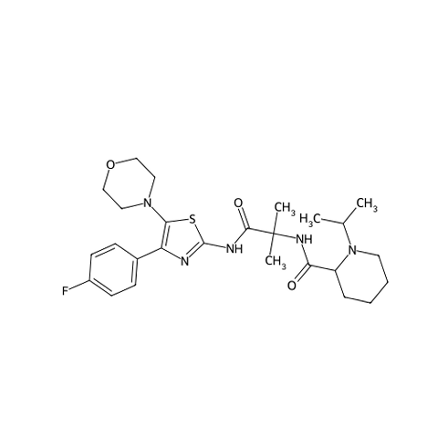 CC(C)N1CCCCC1C(=O)NC(C)(C)C(=O)Nc1nc(-c2ccc(F)cc2)c(N2CCOCC2)s1